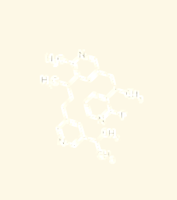 Cc1ncc(CC(C)c2cccnc2F)cc1C(C)CCc1cncc(C(C)C)c1